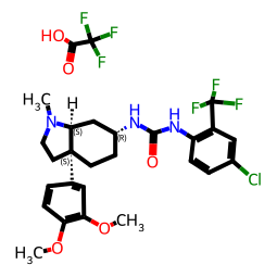 COc1ccc([C@@]23CC[C@@H](NC(=O)Nc4ccc(Cl)cc4C(F)(F)F)C[C@@H]2N(C)CC3)cc1OC.O=C(O)C(F)(F)F